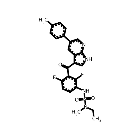 CCN(C)S(=O)(=O)Nc1ccc(F)c(C(=O)c2c[nH]c3ncc(-c4ccc(C)cc4)cc23)c1F